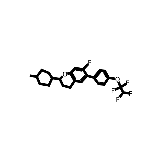 CC1CCC(C2CCc3cc(-c4ccc(OC(F)(F)C(F)F)cc4)c(F)cc3O2)CC1